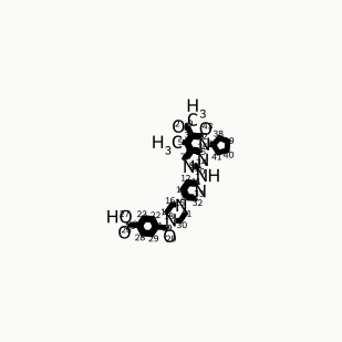 CC(=O)c1c(C)c2cnc(Nc3ccc(N4CCN(C(=O)c5ccc(C(=O)O)cc5)CC4)cn3)nc2n(C2CCCC2)c1=O